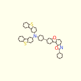 c1ccc(-c2nc3ccc4oc5cc(-c6ccc(N(c7ccc8sc9ccccc9c8c7)c7ccc8sc9ccccc9c8c7)cc6)ccc5c4c3o2)cc1